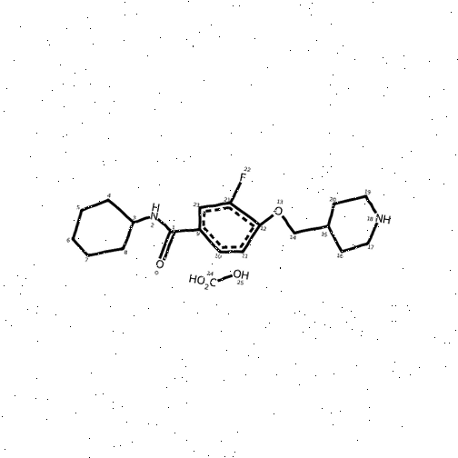 O=C(NC1CCCCC1)c1ccc(OCC2CCNCC2)c(F)c1.O=C(O)O